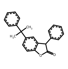 CC(C)(c1ccccc1)c1ccc2c(c1)C(c1ccccc1)C(=O)O2